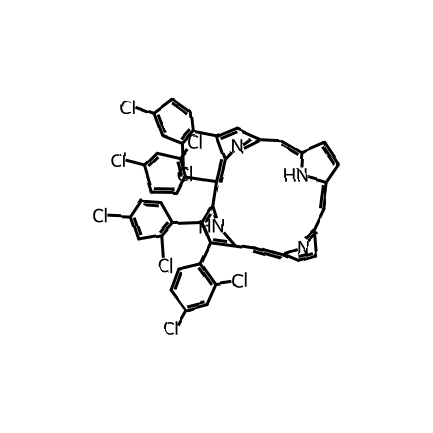 Clc1ccc(C2=Cc3cc4ccc(cc5nc(cc6[nH]c(c(-c7ccc(Cl)cc7Cl)c2n3)c(-c2ccc(Cl)cc2Cl)c6-c2ccc(Cl)cc2Cl)C=C5)[nH]4)c(Cl)c1